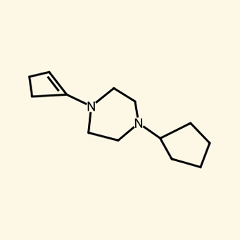 C1=C(N2CCN(C3CCCC3)CC2)CC1